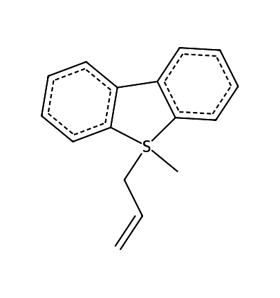 C=CCS1(C)c2ccccc2-c2ccccc21